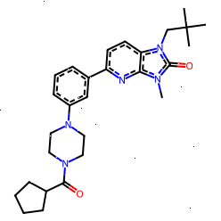 Cn1c(=O)n(CC(C)(C)C)c2ccc(-c3cccc(N4CCN(C(=O)C5CCCC5)CC4)c3)nc21